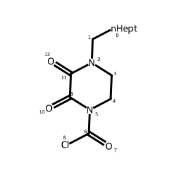 CCCCCCCCN1CCN(C(=O)Cl)C(=O)C1=O